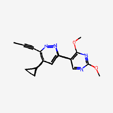 CC#Cc1nnc(-c2cnc(OC)nc2OC)cc1C1CC1